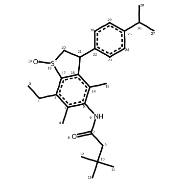 CCc1c(C)c(NC(=O)CC(C)(C)C)c(C)c2c1[S+]([O-])CC2c1ccc(C(C)C)cc1